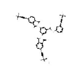 CC(C)(O)C#Cc1cccc(NC(=O)c2cc(N3C(=O)c4ccc(C#CC(C)(C)O)cc4C3=O)cc(N3C(=O)c4ccc(C#CC(C)(C)O)cc4C3=O)c2)c1